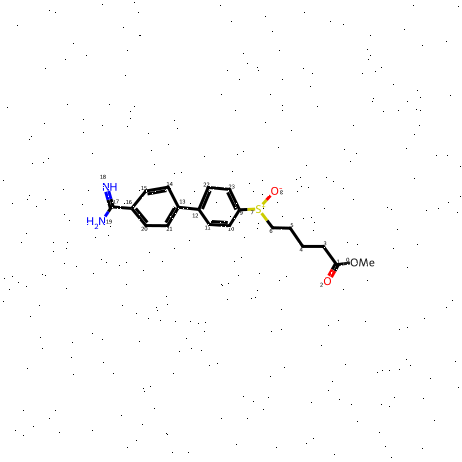 COC(=O)CCCC[S+]([O-])c1ccc(-c2ccc(C(=N)N)cc2)cc1